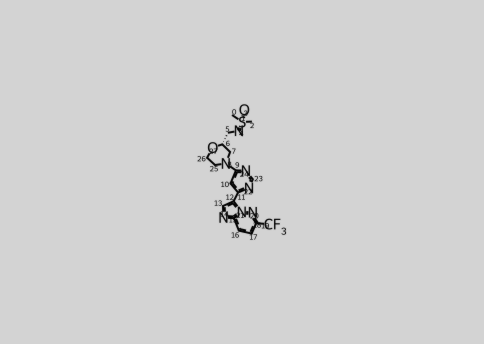 CS(C)(=O)=NC[C@@H]1CN(c2cc(-c3cnc4ccc(C(F)(F)F)nn34)ncn2)CCO1